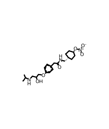 CC(C)NCC(O)COc1ccc(CC(=O)NC[C@H]2CC[C@H](O[N+](=O)[O-])CC2)cc1